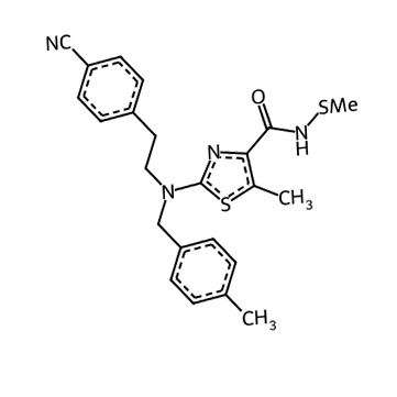 CSNC(=O)c1nc(N(CCc2ccc(C#N)cc2)Cc2ccc(C)cc2)sc1C